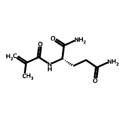 C=C(C)C(=O)N[C@@H](CCC(N)=O)C(N)=O